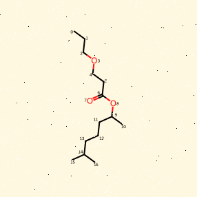 CCCOCCC(=O)OC(C)CCCC(C)C